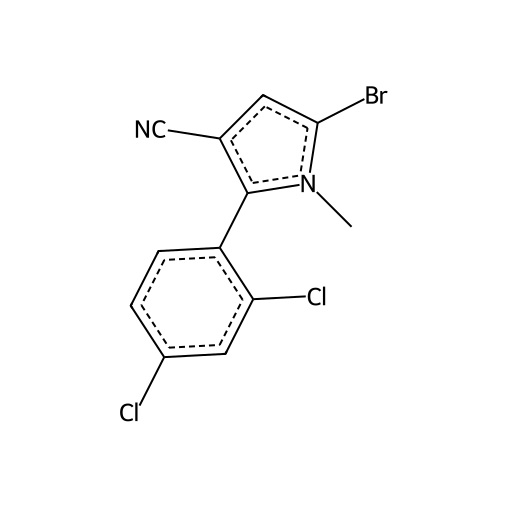 Cn1c(Br)cc(C#N)c1-c1ccc(Cl)cc1Cl